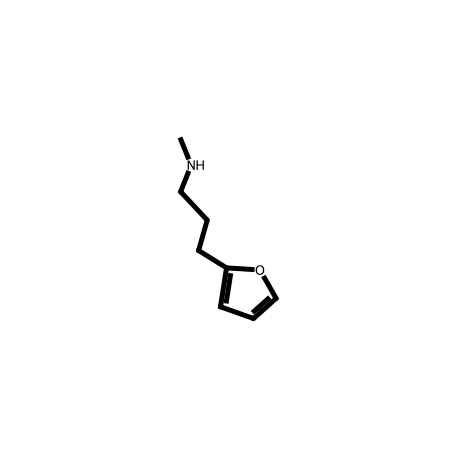 CNCCCc1ccco1